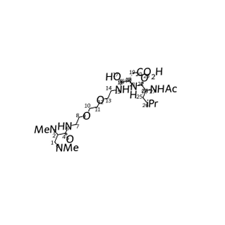 CNCC(NC)C(=O)NCCOCCOCCN[C@H](O)[C@H](CC(=O)O)NC(=O)[C@H](CC(C)C)NC(C)=O